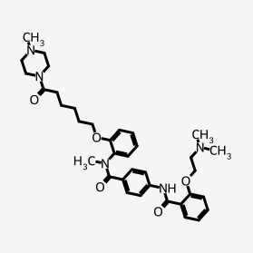 CN(C)CCOc1ccccc1C(=O)Nc1ccc(C(=O)N(C)c2ccccc2OCCCCCC(=O)N2CCN(C)CC2)cc1